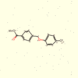 COC(=O)c1ccc(COc2ccc(C(F)(F)F)cc2)cc1